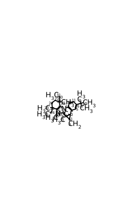 C=C1C2(C)c3cc(C(C)(C)C)ccc3N3C4=C(N(C)C3C12C)C(C)(CC)CCC4(C)CC